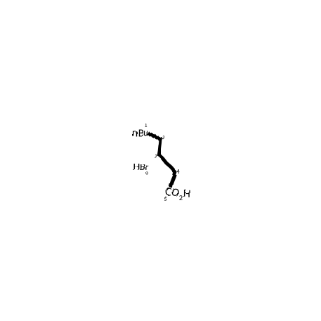 Br.CCCCCCCC(=O)O